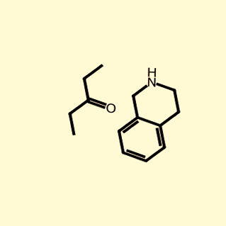 CCC(=O)CC.c1ccc2c(c1)CCNC2